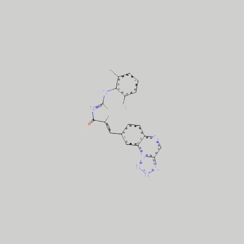 O=C1N=C(Nc2c(Cl)cccc2Cl)S/C1=C\c1ccc2ncc3nnnn3c2c1